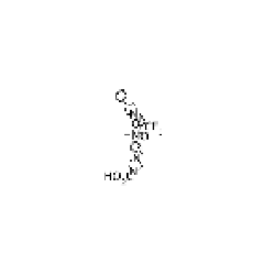 O=C(Nc1ccc(N2CCCN(C(=O)O)CC2)nc1)c1oc(N2CCC(c3ccccc3)CC2)nc1C(F)(F)F